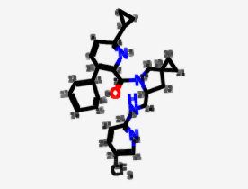 O=C(c1nc(C2CC2)ccc1-c1ccccc1)N1CC2(CC2)CC1CNc1ccc(C(F)(F)F)cn1